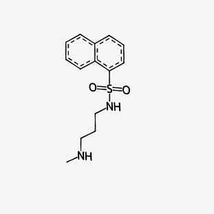 CNCCCNS(=O)(=O)c1cccc2ccccc12